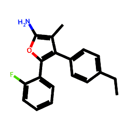 CCc1ccc(-c2c(-c3ccccc3F)oc(N)c2C)cc1